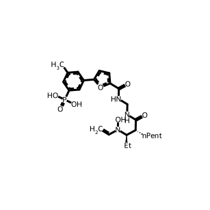 C=CN(O)[C@H](CC)[C@@H](CCCCC)C(=O)NCNC(=O)c1ccc(-c2cc(C)cc(P(=O)(O)O)c2)o1